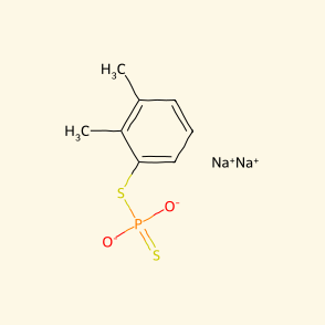 Cc1cccc(SP([O-])([O-])=S)c1C.[Na+].[Na+]